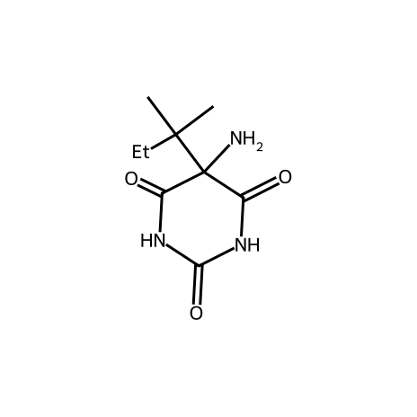 CCC(C)(C)C1(N)C(=O)NC(=O)NC1=O